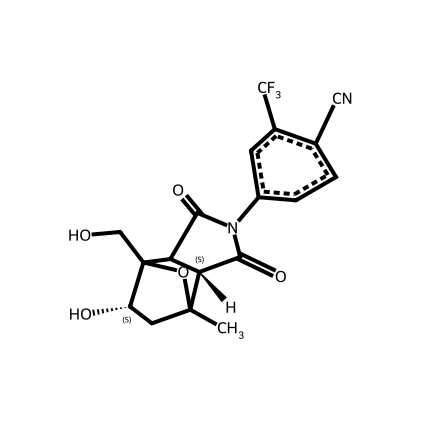 CC12C[C@H](O)C(CO)(O1)C1C(=O)N(c3ccc(C#N)c(C(F)(F)F)c3)C(=O)[C@@H]12